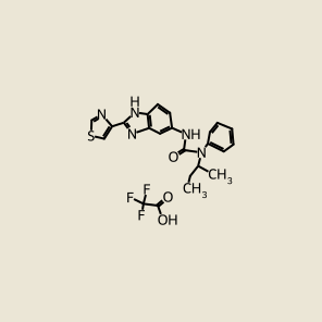 CCC(C)N(C(=O)Nc1ccc2[nH]c(-c3cscn3)nc2c1)c1ccccc1.O=C(O)C(F)(F)F